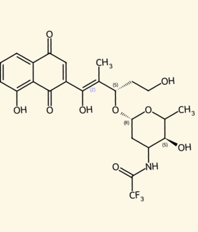 C/C(=C(/O)C1=CC(=O)c2cccc(O)c2C1=O)[C@H](CCO)O[C@H]1CC(NC(=O)C(F)(F)F)[C@H](O)C(C)O1